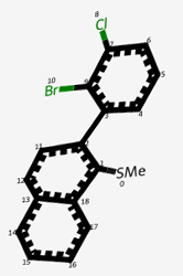 CSc1c(-c2cccc(Cl)c2Br)ccc2ccccc12